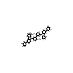 N#Cc1ccc(-n2c3ccccc3c3cc(-c4ccccc4)ccc32)cc1-c1cc(-n2c3ccccc3c3cc(-c4ccccc4)ccc32)ccc1C#N